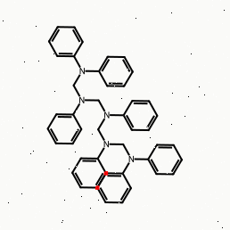 c1ccc(N(CN(CN(c2ccccc2)c2ccccc2)c2ccccc2)CN(CN(c2ccccc2)c2ccccc2)c2ccccc2)cc1